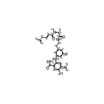 CCc1nc(C(N)=O)c(Nc2cc(F)cc(CCNC(=O)C(C)N(C)C(=O)C=CCN(C)C)c2)nc1N(C)C